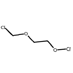 ClCOCCOCl